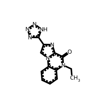 CCn1c(=O)c2nc(-c3nnn[nH]3)cn2c2ccccc21